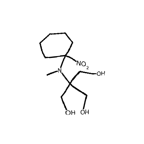 CN(C(CO)(CO)CO)C1([N+](=O)[O-])CCCCC1